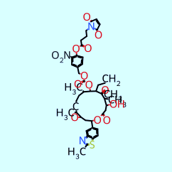 C=CCC1C(=O)C(C)(C)C(O)CC(=O)OC(c2ccc3sc(C)nc3c2)CC2OC2(C)CCCC(C)C1OC(=O)OCc1ccc(OC(=O)CCCN2C(=O)C=CC2=O)c([N+](=O)[O-])c1